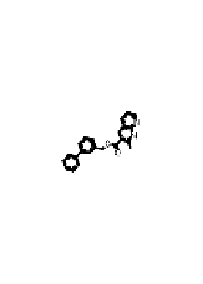 Cc1nc2ncccc2cc1C(=O)OCc1cccc(-c2ccccc2)c1